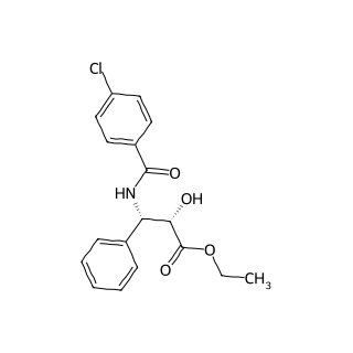 CCOC(=O)[C@@H](O)[C@@H](NC(=O)c1ccc(Cl)cc1)c1ccccc1